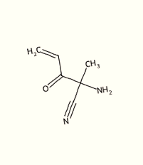 C=CC(=O)C(C)(N)C#N